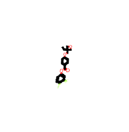 CCC1(COc2ccc(C(=O)Oc3ccc(F)c(F)c3)cc2)COC1